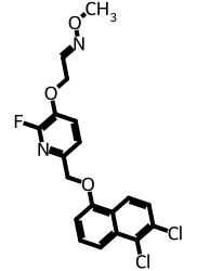 CON=CCOc1ccc(COc2cccc3c(Cl)c(Cl)ccc23)nc1F